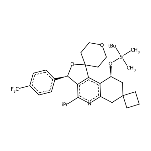 CC(C)c1nc2c(c3c1[C@@H](c1ccc(C(F)(F)F)cc1)OC31CCOCC1)[C@@H](O[Si](C)(C)C(C)(C)C)CC1(CCC1)C2